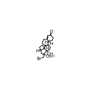 C[C@]12CC[C@H]3[C@@H](CCC4=CC(=O)CC[C@@H]43)[C@]13CC[C@@H]3C[C@@]2(O)CBr